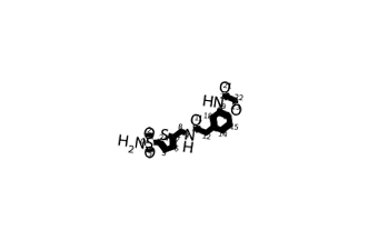 NS(=O)(=O)c1ccc(CNC(=O)Cc2ccc3c(c2)NC(=O)CO3)s1